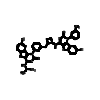 Cc1cccc(-n2c(=O)nc(NC3CCC3Cc3cccc(-n4c(=O)nc(NC(C)C)c5oc6ccc(Cl)cc6c54)c3)c3oc4ccc(Cl)cc4c32)c1